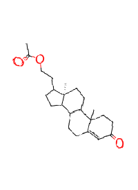 CC(=O)OCCC1CCC2C3CCC4=CC(=O)CCC4(C)C3CC[C@]12C